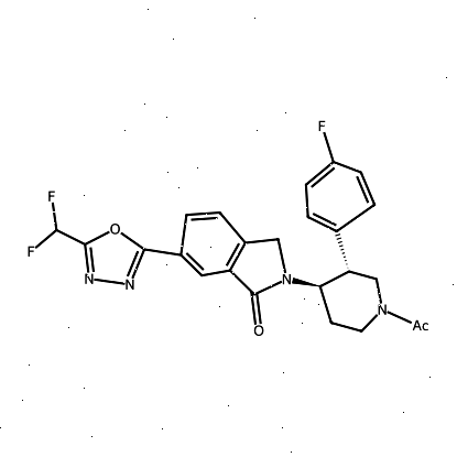 CC(=O)N1CC[C@@H](N2Cc3ccc(-c4nnc(C(F)F)o4)cc3C2=O)[C@H](c2ccc(F)cc2)C1